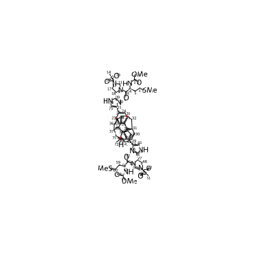 COC(=O)N[C@@H](CCSC)C(=O)N1CN(S(C)(=O)=O)C[C@H]1c1nc(-c2ccc(-c3cc4ccc3CCc3ccc(c(-c5ccc(-c6c[nH]c([C@@H]7CN(S(C)(=O)=O)CN7C(=O)[C@H](CCSC)NC(=O)OC)n6)cc5)c3)C[C@H]4C)cc2)c[nH]1